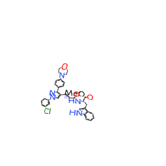 COC(=O)C(Cc1c[nH]c2ccccc12)NC(=O)/C=C/c1cn(-c2cccc(Cl)c2)nc1-c1ccc(N2CCOCC2)cc1